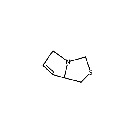 [C]1=CC2CSCN2C1